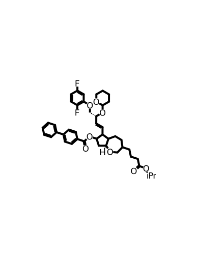 CC(C)OC(=O)CCCC1CCC2C(C=C[C@H](COc3cc(F)ccc3F)OC3CCCCO3)C(OC(=O)c3ccc(-c4ccccc4)cc3)C[C@@H]2OC1